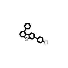 Clc1ccc(-c2ccc3c(c2)sc2cccc(-c4ccccc4)c23)cc1